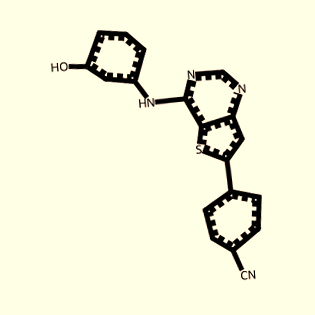 N#Cc1ccc(-c2cc3ncnc(Nc4cccc(O)c4)c3s2)cc1